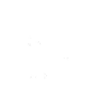 CCC(C)C(Nc1ccc(C)cc1)c1ccc(-c2noc(-c3ccccc3)n2)cc1